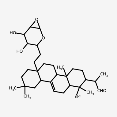 CCCC1(C)C(C(C)C=O)CCC2(C)C3CCC4(CCC5OC6OC6C(O)C5O)CCC(C)(C)CC4C3=CCC21